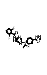 Cc1nc2cc(-c3nnco3)ccc2n1-c1cnc(NC(=O)c2c(F)cccc2F)cn1